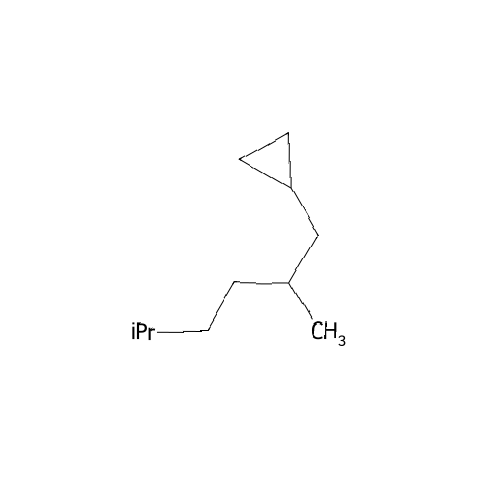 CC(C)CCC(C)CC1CC1